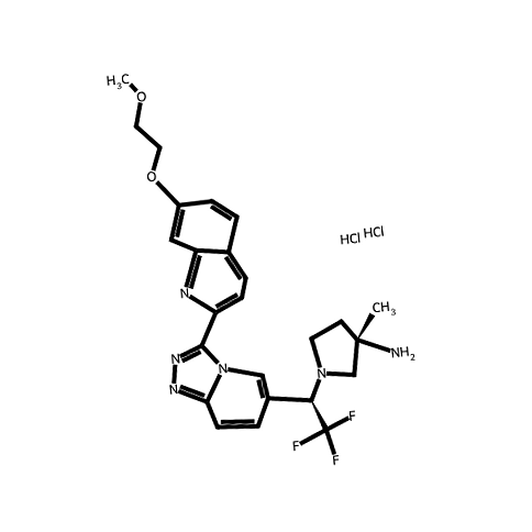 COCCOc1ccc2ccc(-c3nnc4ccc([C@@H](N5CC[C@](C)(N)C5)C(F)(F)F)cn34)nc2c1.Cl.Cl